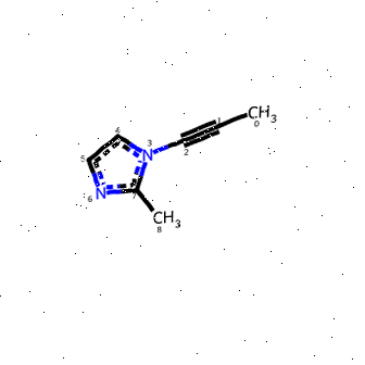 CC#Cn1ccnc1C